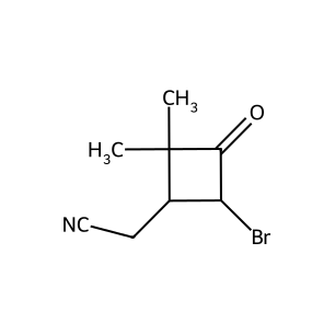 CC1(C)C(=O)C(Br)C1CC#N